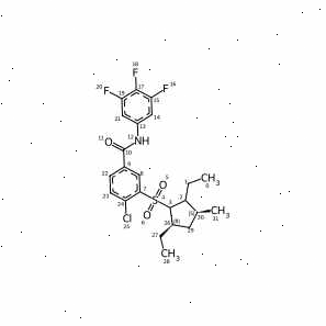 CCC1C(S(=O)(=O)c2cc(C(=O)Nc3cc(F)c(F)c(F)c3)ccc2Cl)[C@H](CC)C[C@@H]1C